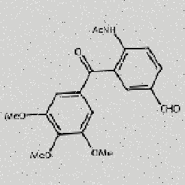 COc1cc(C(=O)c2cc(C=O)ccc2NC(C)=O)cc(OC)c1OC